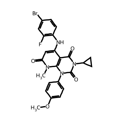 COc1ccc(-n2c(=O)n(C3CC3)c(=O)c3c(Nc4ccc(Br)cc4F)cc(=O)n(C)c32)cc1